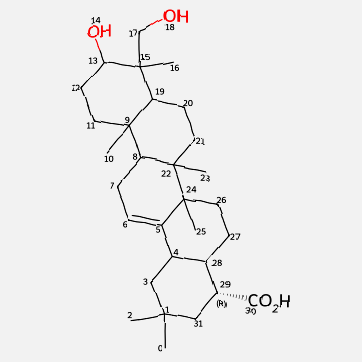 CC1(C)CC2C3=CCC4C5(C)CCC(O)C(C)(CO)C5CCC4(C)C3(C)CCC2[C@H](C(=O)O)C1